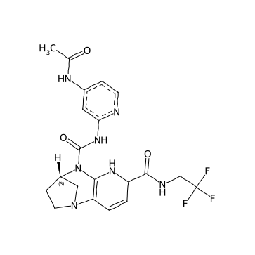 CC(=O)Nc1ccnc(NC(=O)N2C3=C(C=CC(C(=O)NCC(F)(F)F)N3)N3CC[C@H]2C3)c1